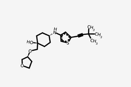 CC(C)(C)C#Cc1cc(N[C@H]2CC[C@@](O)(CO[C@H]3CCOC3)CC2)cs1